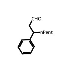 CCCCCC(CC=O)c1ccccc1